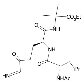 CCOC(=O)C(C)(C)NC(=O)[C@H](CCC(=O)C=N)NC(=O)[C@H](CC(C)C)NC(C)=O